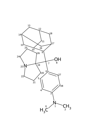 CN(C)c1ccc(C(O)(C2C3CC4CC(C3)CC2C4)C23CCCN2CCC3)cc1